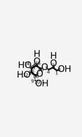 OCC(O)CO[C@@H]1O[C@H](CO)[C@@H](O)[C@H](O)[C@@H]1O